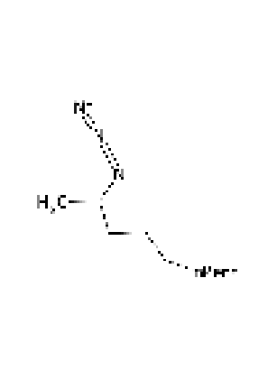 CCCCCCCCC(C)N=[N+]=[N-]